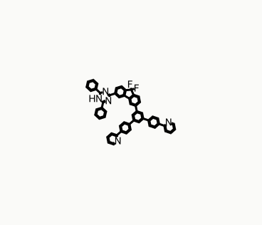 FC1(F)c2ccc(C3=NC(c4ccccc4)NC(c4ccccc4)=N3)cc2-c2cc(-c3cc(-c4ccc(-c5ccccn5)cc4)cc(-c4ccc(-c5ccccn5)cc4)c3)ccc21